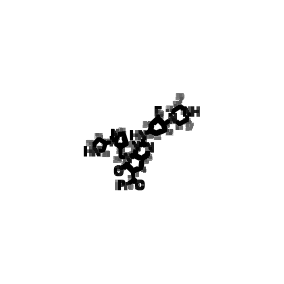 CC(C)C(=O)c1cc2cnc(Nc3ccc(N4C[C@@H](C)N[C@@H](C)C4)c(F)c3)nc2n(Cc2ccnn2C2CCNC2)c1=O